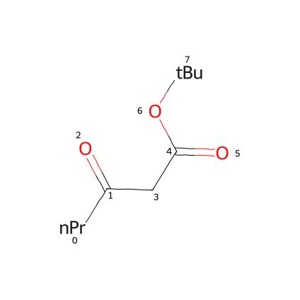 CCCC(=O)CC(=O)OC(C)(C)C